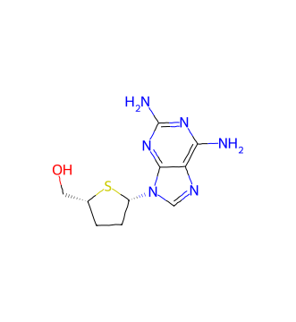 Nc1nc(N)c2ncn([C@@H]3CC[C@H](CO)S3)c2n1